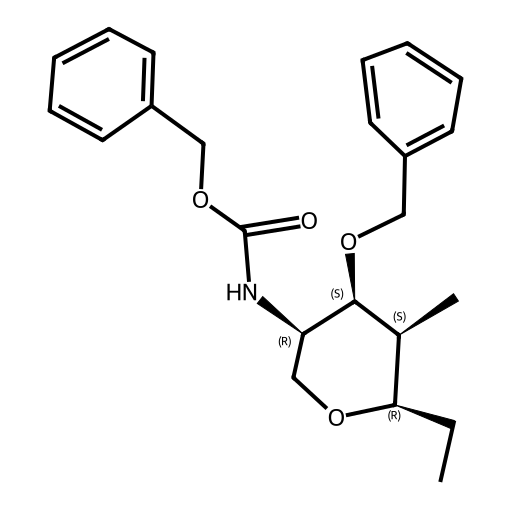 CC[C@H]1OC[C@@H](NC(=O)OCc2ccccc2)[C@@H](OCc2ccccc2)[C@H]1C